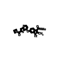 CCn1c(C)c(C(=O)NC)c2ccc(Oc3ccnc4cc(C(=O)N5CCC5)sc34)cc21